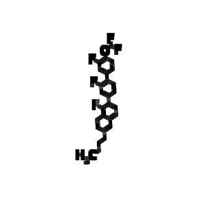 CCCCc1ccc2c(F)c(-c3ccc(-c4ccc(OC(F)F)c(F)c4)c(F)c3)ccc2c1